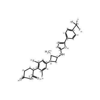 C[C@@H]1[C@@H](Nc2nnc(-c3ccc(C(F)(F)F)cc3)o2)CN1c1cc(F)c(C2CCC(=O)NC2=O)c(F)c1